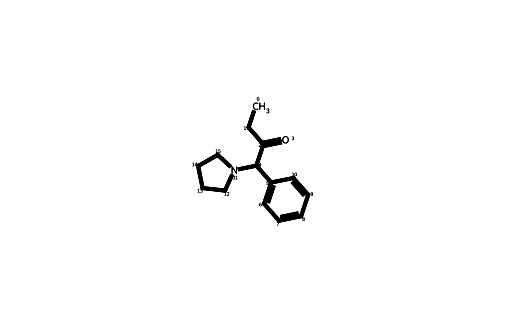 CCC(=O)C(c1ccccc1)N1CCCC1